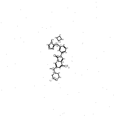 C[C@@H]1CN([C@@H](C)c2cc(C(F)(F)F)c3cn(-c4cccc([C@H](c5nncn5C)C5CCC5)c4)c(=O)n3c2)CCO1